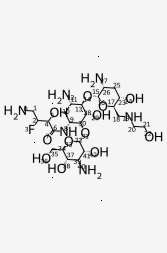 NCC(F)C(O)C(=O)N[C@@H]1C[C@H](N)[C@@H](O[C@H]2O[C@H](CNCCO)[C@@H](O)C[C@H]2N)[C@H](O)[C@H]1O[C@H]1O[C@H](CO)[C@@H](O)[C@H](N)[C@H]1O